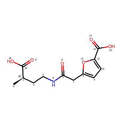 C[C@H](CCNC(=O)Cc1ccc(C(=O)O)o1)C(=O)O